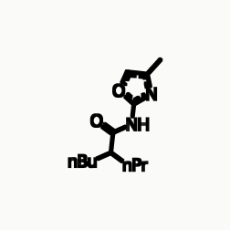 CCCCC(CCC)C(=O)Nc1nc(C)co1